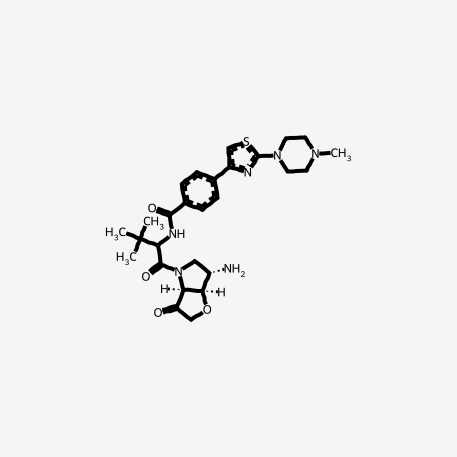 CN1CCN(c2nc(-c3ccc(C(=O)NC(C(=O)N4C[C@H](N)[C@H]5OCC(=O)[C@H]54)C(C)(C)C)cc3)cs2)CC1